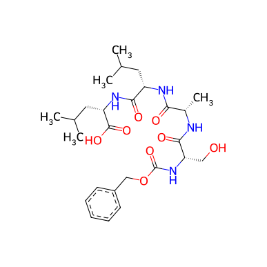 CC(C)C[C@H](NC(=O)[C@H](CC(C)C)NC(=O)[C@H](C)NC(=O)[C@H](CO)NC(=O)OCc1ccccc1)C(=O)O